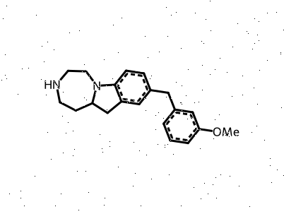 COc1cccc(Cc2ccc3c(c2)CC2CCNCCN32)c1